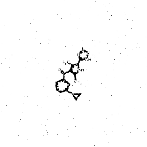 Cc1[nH]c(-c2nnn[nH]2)c(C)c1C(=O)c1cccc(C2CC2)c1